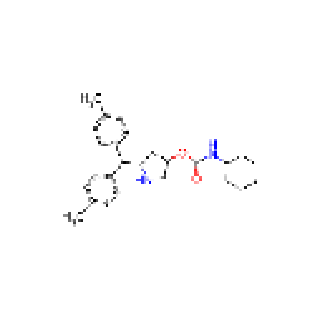 Cc1ccc(C(c2ccc(C)cc2)[C@H]2C[C@@H](OC(=O)NC3CCCCC3)CN2)cc1